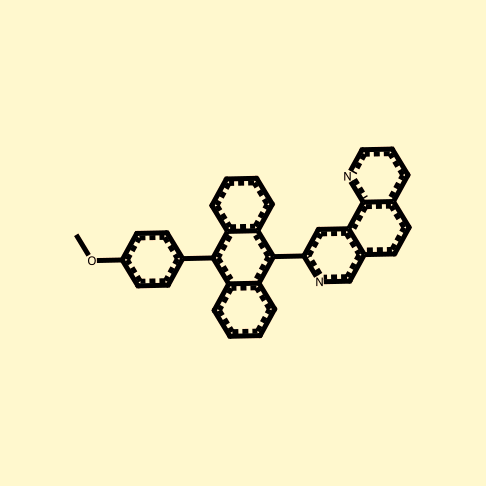 COc1ccc(-c2c3ccccc3c(-c3cc4c(ccc5cccnc54)cn3)c3ccccc23)cc1